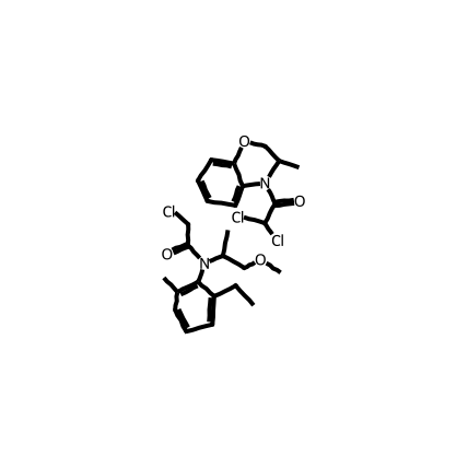 CC1COc2ccccc2N1C(=O)C(Cl)Cl.CCc1cccc(C)c1N(C(=O)CCl)C(C)COC